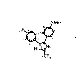 CSc1ccc(-c2nc(C(F)(F)F)[nH]c2-c2ccc(F)cc2)cc1